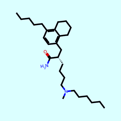 CCCCCCN(C)CCCC[C@@H](Cc1ccc(CCCCC)c2c1CCCC2)C(N)=O